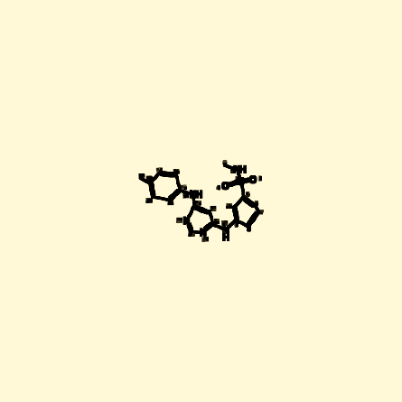 CNS(=O)(=O)c1cccc(Nc2cc(Nc3ccc(C)cc3)ncn2)c1